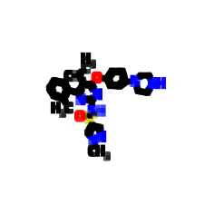 CCc1c(Oc2ccc(N3CCNCC3)cc2)nc(N[S+]([O-])c2cnn(C)c2)nc1-c1c(C)cccc1C